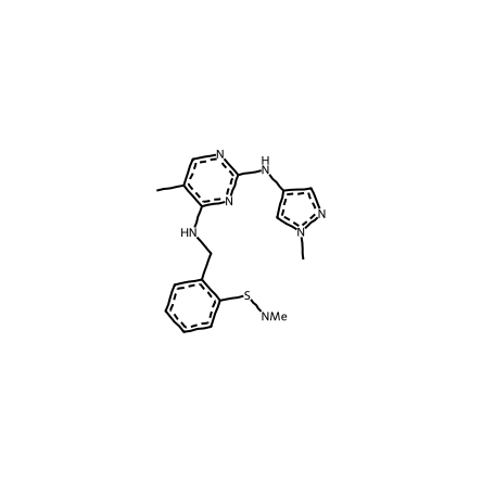 CNSc1ccccc1CNc1nc(Nc2cnn(C)c2)ncc1C